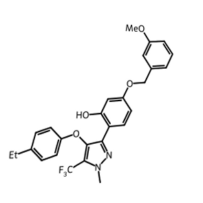 CCc1ccc(Oc2c(-c3ccc(OCc4cccc(OC)c4)cc3O)nn(C)c2C(F)(F)F)cc1